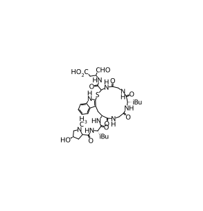 CCC(C)[C@H](NC(=O)C1C[C@@H](O)CN1C)C(=O)N[C@H]1Cc2c([nH]c3ccccc23)SC(C(=O)NC(C=O)CC(=O)O)NC(=O)CNC(=O)C([C@@H](C)CC)NC(=O)CNC1=O